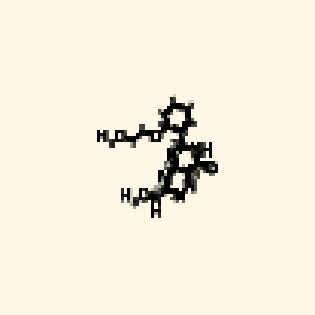 CCCOc1ccccc1-c1nc2nc(NC)nnc2c(=O)[nH]1